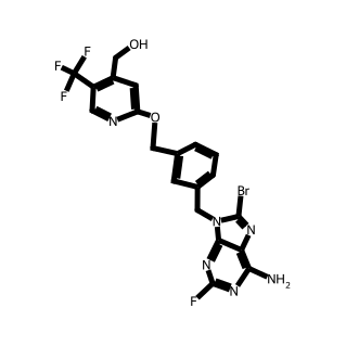 Nc1nc(F)nc2c1nc(Br)n2Cc1cccc(COc2cc(CO)c(C(F)(F)F)cn2)c1